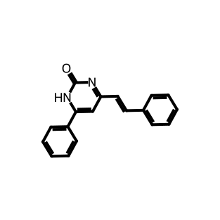 O=c1nc(C=Cc2ccccc2)cc(-c2ccccc2)[nH]1